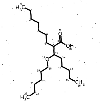 CCCCCCCC(C(=O)O)C(CCCCC)OCCCCCC